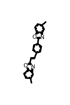 Cc1ccc2oc(C=Cc3ccc(-c4nc5cc(C)ccc5o4)cc3)nc2c1